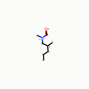 CCCC(C)CN(C)C=O